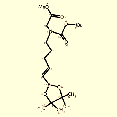 COC(=O)CN(CCC/C=C/B1OC(C)(C)C(C)(C)O1)C(=O)OC(C)(C)C